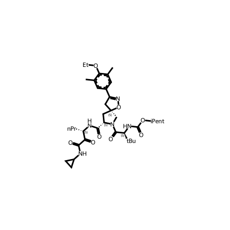 CCCC(C)OC(=O)N[C@H](C(=O)N1C[C@@]2(CC(c3cc(C)c(OCC)c(C)c3)=NO2)C[C@H]1C(=O)N[C@@H](CCC)C(=O)C(=O)NC1CC1)C(C)(C)C